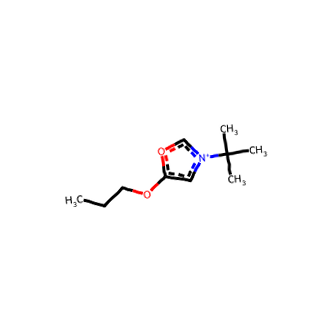 CCCOc1c[n+](C(C)(C)C)co1